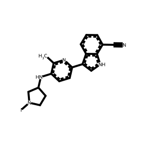 Cc1nc(-c2c[nH]c3c(C#N)cccc23)ccc1NC1CCN(I)C1